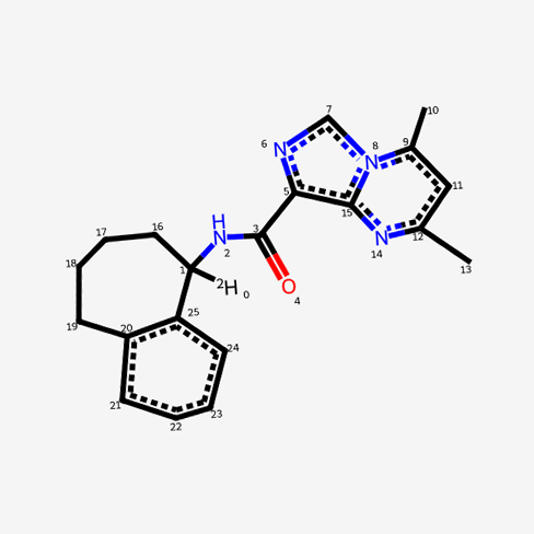 [2H]C1(NC(=O)c2ncn3c(C)cc(C)nc23)CCCCc2ccccc21